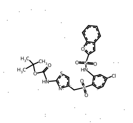 CC(C)(C)OC(=O)Nc1nc(CS(=O)(=O)c2ccc(Cl)cc2NS(=O)(=O)c2cc3ccccc3o2)cs1